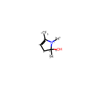 [2H]N1C(C(F)(F)F)=CCC1([2H])O